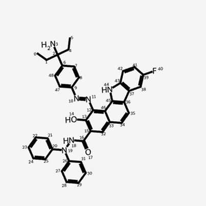 CCC(N)(CC)c1ccc(N=Nc2c(O)c(C(=O)NN(c3ccccc3)c3ccccc3)cc3ccc4c5cc(F)ccc5[nH]c4c23)cc1